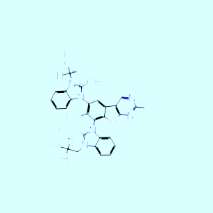 [2H]C([2H])([2H])CN1c2ccccc2N(c2c(C)c(N3c4ccccc4N(C([2H])([2H])C)[C@H]3C)cc3c2oc2nc(C)ncc23)[C@H]1C